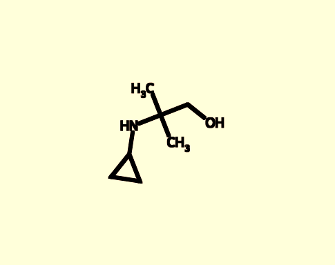 CC(C)(CO)NC1CC1